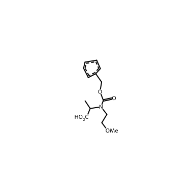 COCCN(C(=O)OCc1ccccc1)C(C)C(=O)O